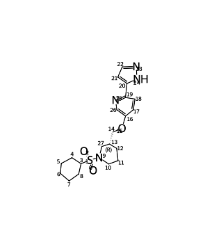 O=S(=O)(C1CCCCC1)N1CCC[C@@H](COc2ccc(-c3ccn[nH]3)nc2)C1